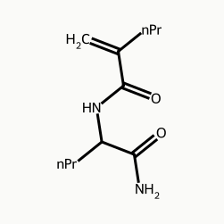 C=C(CCC)C(=O)NC(CCC)C(N)=O